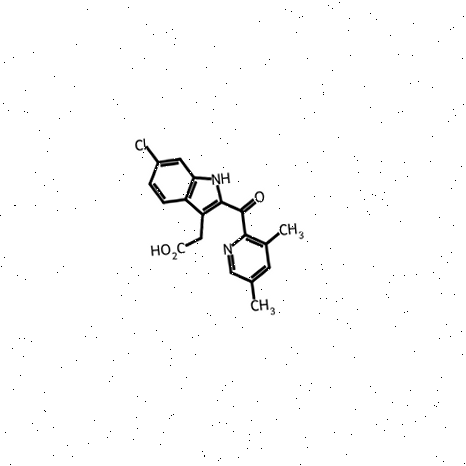 Cc1cnc(C(=O)c2[nH]c3cc(Cl)ccc3c2CC(=O)O)c(C)c1